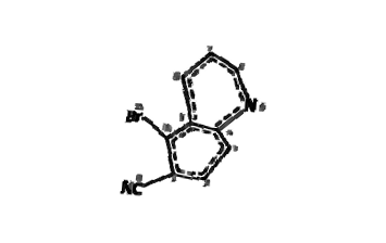 N#Cc1ccc2ncccc2c1Br